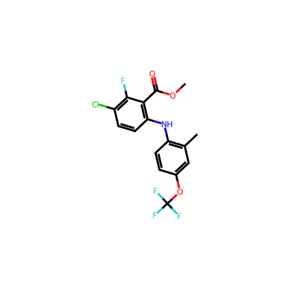 COC(=O)c1c(Nc2ccc(OC(F)(F)F)cc2C)ccc(Cl)c1F